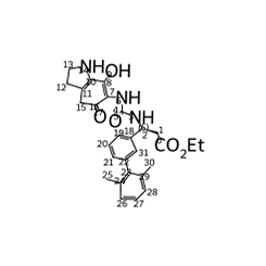 CCOC(=O)C[C@H](NC(=O)NC1=C(O)C2=C(CCN2)CC1=O)c1cccc(-c2c(C)cccc2C)c1